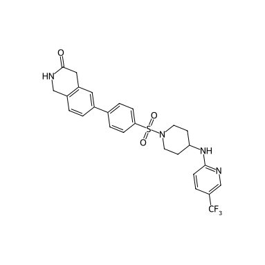 O=C1Cc2cc(-c3ccc(S(=O)(=O)N4CCC(Nc5ccc(C(F)(F)F)cn5)CC4)cc3)ccc2CN1